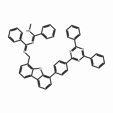 CN/C(=N\C(=N/Cc1cccc2c1oc1c(-c3ccc(-c4nc(-c5ccccc5)nc(-c5ccccc5)n4)cc3)cccc12)c1ccccc1)c1ccccc1